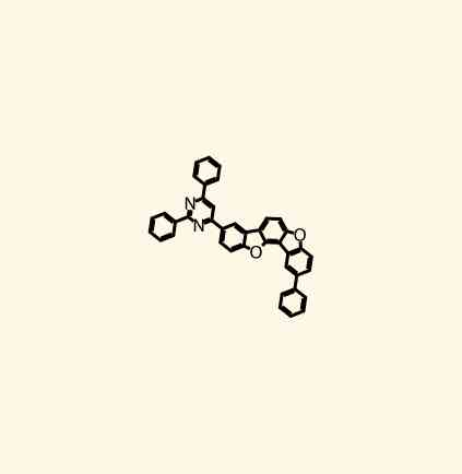 c1ccc(-c2ccc3oc4ccc5c6cc(-c7cc(-c8ccccc8)nc(-c8ccccc8)n7)ccc6oc5c4c3c2)cc1